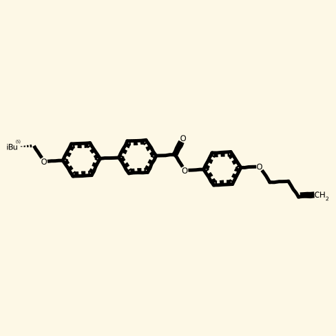 C=CCCOc1ccc(OC(=O)c2ccc(-c3ccc(OC[C@@H](C)CC)cc3)cc2)cc1